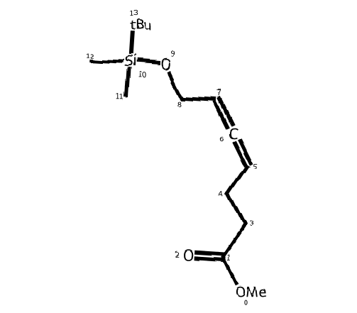 COC(=O)CCC=C=CCO[Si](C)(C)C(C)(C)C